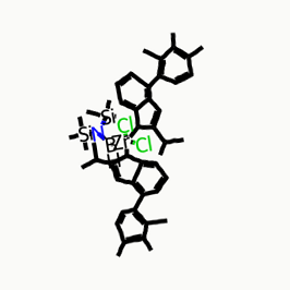 Cc1ccc(-c2cccc3c2C=C(C(C)C)[CH]3[Zr]([Cl])([Cl])([BH]N([Si](C)(C)C)[Si](C)(C)C)[CH]2C(C(C)C)=Cc3c(-c4ccc(C)c(C)c4C)cccc32)c(C)c1C